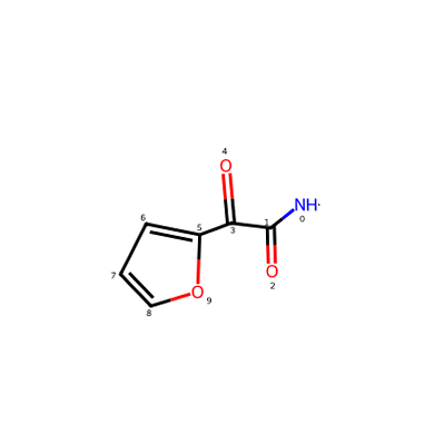 [NH]C(=O)C(=O)c1ccco1